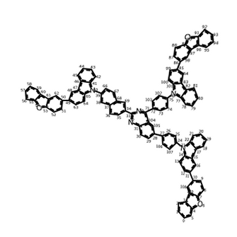 c1ccc2c(c1)oc1ccc(-c3ccc4c(c3)c3ccccc3n4-c3ccc(-c4ccc5nc(-c6ccc7cc(-n8c9ccccc9c9cc(-c%10ccc%11oc%12ccccc%12c%11c%10)ccc98)ccc7c6)nc(-c6ccc(-n7c8ccccc8c8cc(-c9ccc%10oc%11ccccc%11c%10c9)ccc87)cc6)c5c4)cc3)cc12